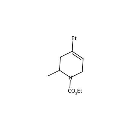 [CH2]CC1=CCN(C(=O)OCC)C(C)C1